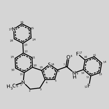 CN1CCc2cc(C(=O)Nc3c(F)cccc3F)sc2-c2cc(-c3cccnc3)ccc21